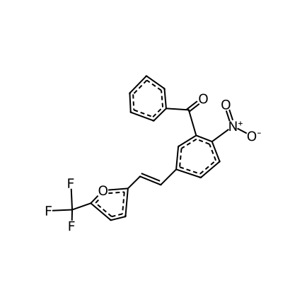 O=C(c1ccccc1)c1cc(C=Cc2ccc(C(F)(F)F)o2)ccc1[N+](=O)[O-]